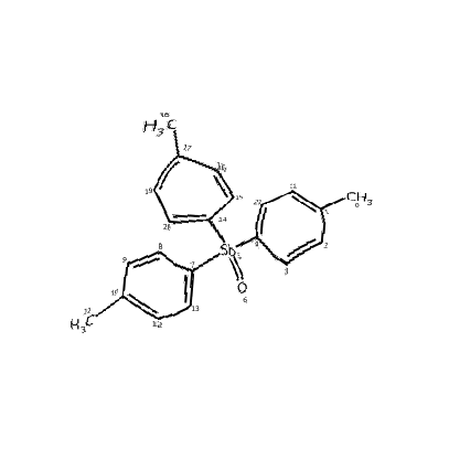 Cc1cc[c]([Sb](=[O])([c]2ccc(C)cc2)[c]2ccc(C)cc2)cc1